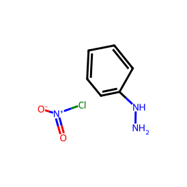 NNc1ccccc1.O=[N+]([O-])Cl